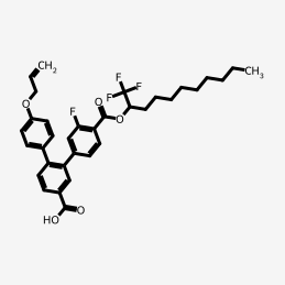 C=CCOc1ccc(-c2ccc(C(=O)O)cc2-c2ccc(C(=O)OC(CCCCCCCCC)C(F)(F)F)c(F)c2)cc1